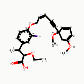 CCOC(C(=O)O)C(C)c1ccc(OC/C=C\C#CC2(OC)C=CC=C(OC)C2)c(I)c1